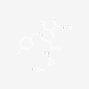 CNC(=O)c1cc(C(=O)N[C@H]2C[C@@H]2CO)cn(Cc2ccc(F)cc2)c1=O